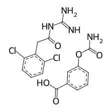 N=C(N)NC(=O)Cc1c(Cl)cccc1Cl.NC(=O)Oc1cccc(C(=O)O)c1